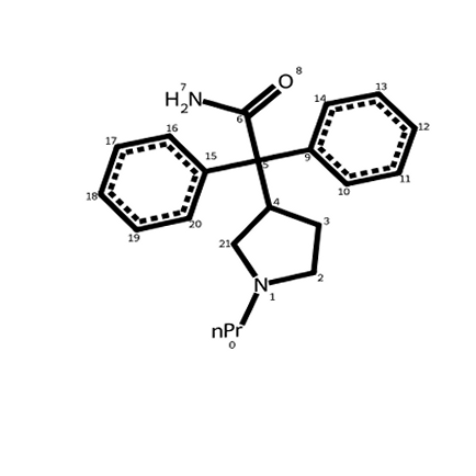 CCCN1CCC(C(C(N)=O)(c2ccccc2)c2ccccc2)C1